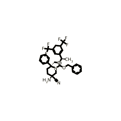 C[C@@H](OC[C@@]1(c2ccccc2)CC[C@@](N)(C#N)CN1C(=O)OCc1ccccc1)C1=CC(C(F)(F)F)CC(C(F)(F)F)=C1